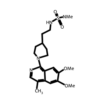 CNS(=O)(=O)NCCC1CCN(c2ncc(C)c3cc(OC)c(OC)cc23)CC1